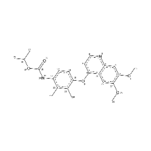 COc1cc2nccc(Oc3ccc(NC(=O)OC(C)C)c(C)c3C)c2cc1OC